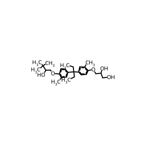 CCC(CC)(c1ccc(OCC(O)CO)c(C)c1)c1ccc(OCC(O)C(C)(C)C)c(C)c1